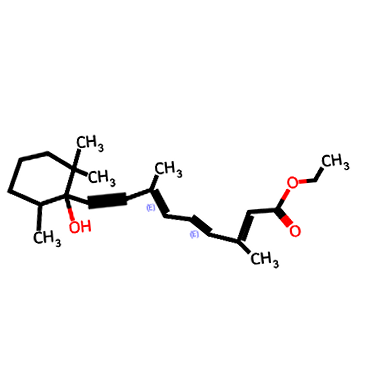 CCOC(=O)C=C(C)/C=C/C=C(\C)C#CC1(O)C(C)CCCC1(C)C